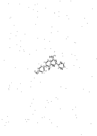 CNc1nc(-c2cnccn2)nc2c(F)c(-c3ccc(OC)cc3)ccc12